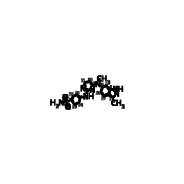 Cc1n[nH]c2cc(N(C)c3ccnc(Nc4ccc(S(N)(=O)=O)cc4)n3)ccc12